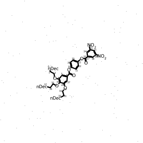 CCCCCCCCCCCCOc1cc(C(=O)Oc2ccc(OC(=O)c3cc([N+](=O)[O-])cc([N+](=O)[O-])c3)cc2)cc(OCCCCCCCCCCCC)c1OCCCCCCCCCCCC